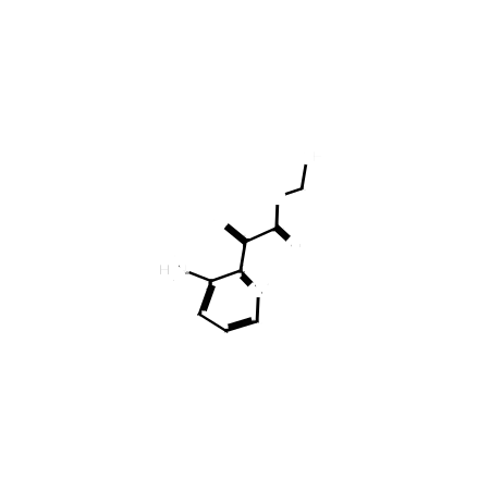 CCOC(=O)C(=O)c1ncccc1N